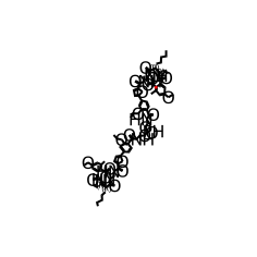 CCCCC[C@@H](C(=O)NCNC(=O)c1ccc(-c2ccc(C(=O)NCO[PH](=O)OCNC(=O)c3ccc(-c4ccc(C(=O)NCNC(=O)[C@H](CCCCC)[C@@H](CC)N(C=O)OC(=O)c5ccc(OC)cc5C)o4)cc3OCC)c(OCC)c2)o1)[C@@H](CC)N(C=O)OC(=O)c1ccc(OC)cc1C